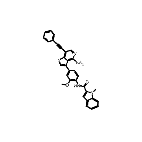 COc1cc(-c2csc3c(C#Cc4ccccc4)cnc(N)c23)ccc1NC(=O)c1cc2ccccc2n1C